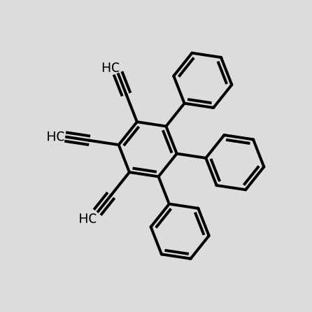 C#Cc1c(C#C)c(-c2ccccc2)c(-c2ccccc2)c(-c2ccccc2)c1C#C